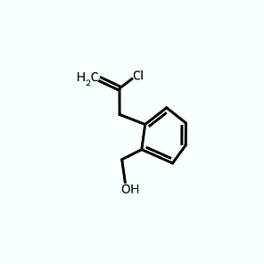 C=C(Cl)Cc1ccccc1CO